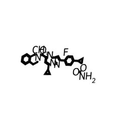 C[C@@H]1c2ccccc2CCN1C(=O)c1cc(C2CC2)n2nc(-c3ccc(C4CC4OC(N)=O)cc3F)cc2n1